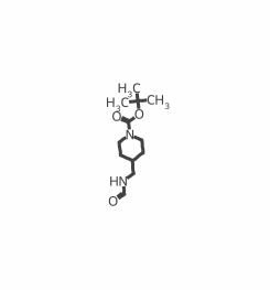 CC(C)(C)OC(=O)N1CCC(CNC=O)CC1